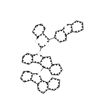 c1ccc2c(-n3c4ccccc4c4ccc5ccccc5c43)c3c4ccccc4n(-c4nc(-c5ccc6c(c5)sc5ccccc56)c5ccccc5n4)c3cc2c1